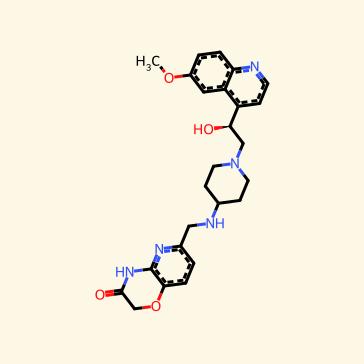 COc1ccc2nccc([C@H](O)CN3CCC(NCc4ccc5c(n4)NC(=O)CO5)CC3)c2c1